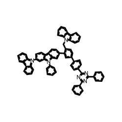 c1ccc(-c2nc(-c3ccccc3)nc(-c3ccc(-c4ccc(Cn5c6ccccc6c6ccccc65)c(-c5ccc6c7ccc(-n8c9ccccc9c9ccccc98)cc7n(-c7ccccc7)c6c5)c4)cc3)n2)cc1